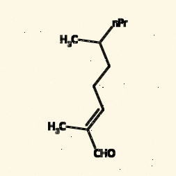 CCCC(C)CCC=C(C)C=O